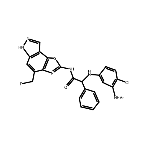 CC(=O)Nc1cc(NC(C(=O)Nc2nc3c(CF)cc4[nH]ncc4c3s2)c2ccccc2)ccc1Cl